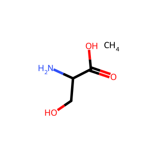 C.NC(CO)C(=O)O